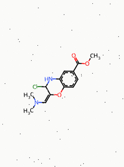 COC(=O)c1ccc2c(c1)NC(Cl)C(=CN(C)C)O2